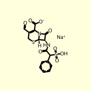 O=CC1=C(C(=O)[O-])N2C(=O)[C@@H](NC(=O)C(c3ccccc3)S(=O)(=O)O)[C@@H]2SC1.[Na+]